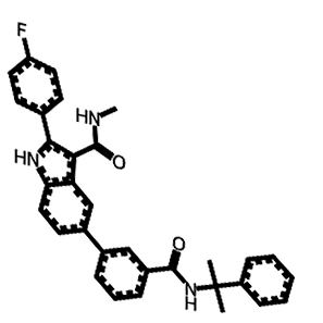 CNC(=O)c1c(-c2ccc(F)cc2)[nH]c2ccc(-c3cccc(C(=O)NC(C)(C)c4ccccc4)c3)cc12